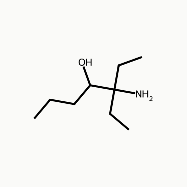 CCCC(O)C(N)(CC)CC